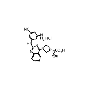 CC(C)(C)N(C(=O)O)[C@H]1CCN(c2nc(Nc3cc(N)cc(C#N)c3)nc3ccccc23)C1.Cl